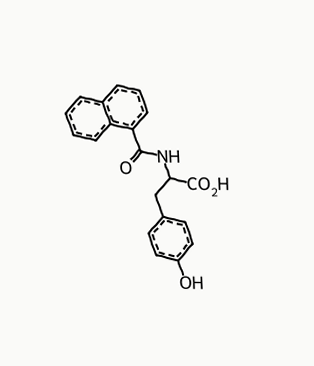 O=C(NC(Cc1ccc(O)cc1)C(=O)O)c1cccc2ccccc12